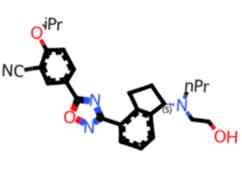 CCCN(CCO)[C@H]1CCc2c(-c3noc(-c4ccc(OC(C)C)c(C#N)c4)n3)cccc21